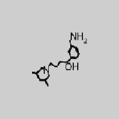 CC1CC(C)CN(CCCC(O)c2cccc(CN)c2)C1